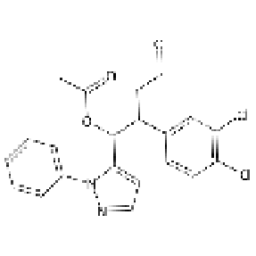 CC(=O)OC(c1ccnn1-c1ccccc1)C(CC=O)c1ccc(Cl)c(Cl)c1